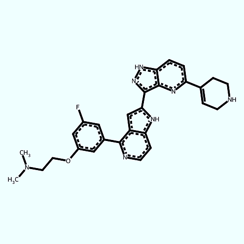 CN(C)CCOc1cc(F)cc(-c2nccc3[nH]c(-c4n[nH]c5ccc(C6=CCNCC6)nc45)cc23)c1